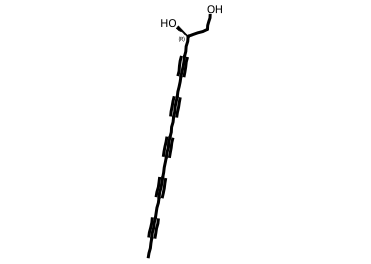 CC#CC#CC#CC#CC#C[C@@H](O)CO